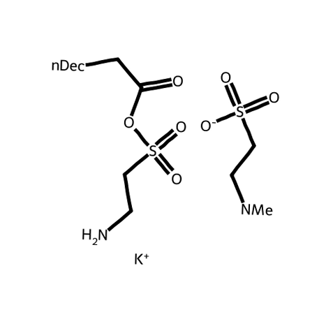 CCCCCCCCCCCC(=O)OS(=O)(=O)CCN.CNCCS(=O)(=O)[O-].[K+]